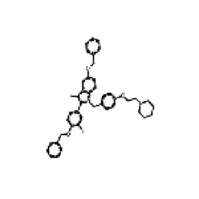 Cc1c(-c2ccc(OCc3ccccc3)c(F)c2)n(Cc2ccc(OCCN3CCCCC3)cc2)c2ccc(OCc3ccccc3)cc12